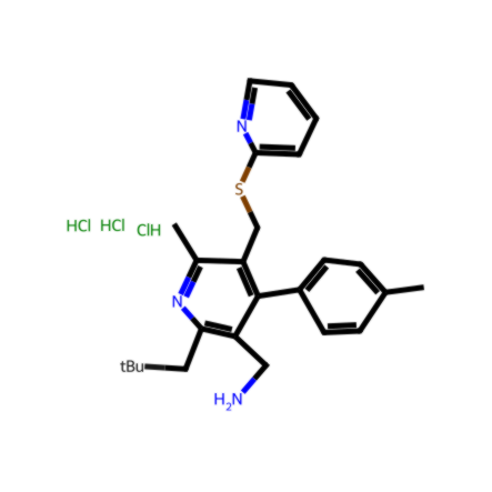 Cc1ccc(-c2c(CSc3ccccn3)c(C)nc(CC(C)(C)C)c2CN)cc1.Cl.Cl.Cl